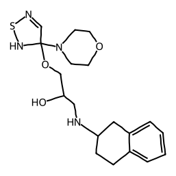 OC(CNC1CCc2ccccc2C1)COC1(N2CCOCC2)C=NSN1